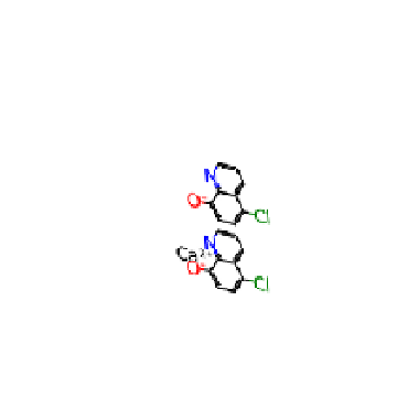 [Ca+2].[O-]c1ccc(Cl)c2cccnc12.[O-]c1ccc(Cl)c2cccnc12